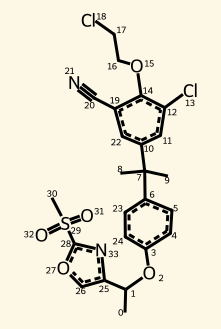 CC(Oc1ccc(C(C)(C)c2cc(Cl)c(OCCCl)c(C#N)c2)cc1)c1coc(S(C)(=O)=O)n1